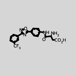 N[C@@H](CC(=O)O)C(=O)Nc1ccc(-c2nc(-c3cccc(C(F)(F)F)c3)no2)cc1